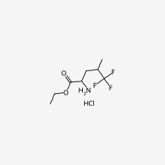 CCOC(=O)C(N)CC(C)C(F)(F)F.Cl